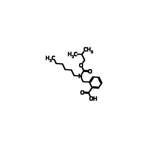 CCCCCCN(Cc1ccccc1C(=O)O)C(=O)OCC(C)C